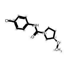 CO[C@@H]1CCN(C(=O)Nc2ccc(Cl)cc2)C1